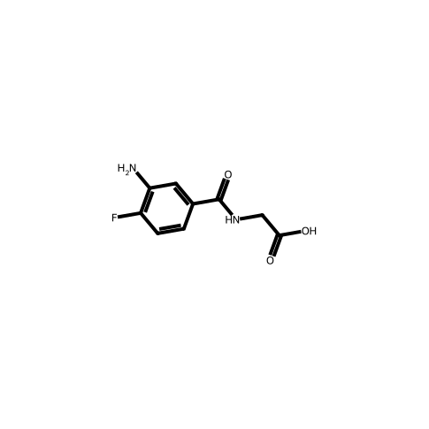 Nc1cc(C(=O)NCC(=O)O)ccc1F